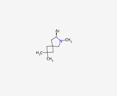 CC(=O)[C@@H]1CC2(CN1C)CC(C)(C)C2